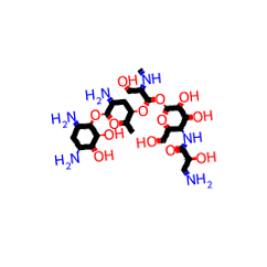 CNC(CO)C(O[C@H]1OC(CO)[C@@H](NC(=O)[C@@H](O)CN)C(O)C1O)O[C@H]1CC(N)[C@@H](O[C@@H]2C(N)C[C@@H](N)C(O)[C@H]2O)OC1C